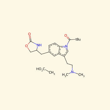 CC(=O)O.CN(C)CCc1cn(C(=O)C(C)(C)C)c2ccc(CC3COC(=O)N3)cc12